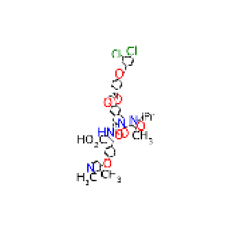 Cc1nccc(Oc2ccc(CC(NC(=O)[C@@H]3Cc4cc5c(cc4CN3C(=O)c3nc(C(C)C)oc3C)O[C@@H](c3ccc(OCc4ccc(Cl)c(Cl)c4)cc3)CO5)C(=O)O)cc2)c1C